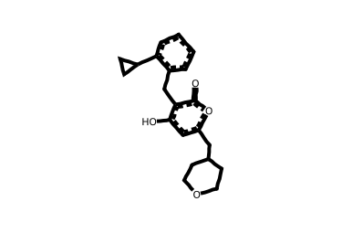 O=c1oc(CC2CCOCC2)cc(O)c1Cc1ccccc1C1CC1